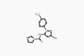 Cc1ccc(-n2nc(C(C)C)cc2NC(=O)n2ccnc2)cc1